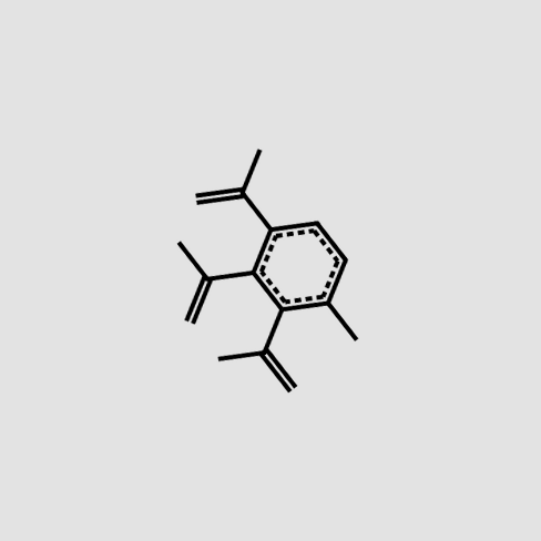 C=C(C)c1ccc(C)c(C(=C)C)c1C(=C)C